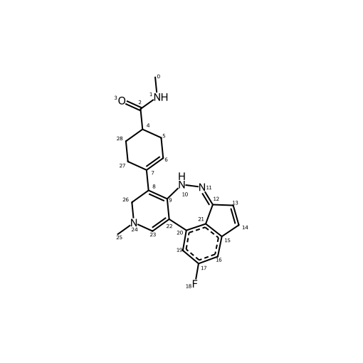 CNC(=O)C1CC=C(C2=C3NN=C4C=Cc5cc(F)cc(c54)C3=CN(C)C2)CC1